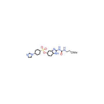 COCCNC(=O)Nc1nc2cc(OS(=O)(=O)c3ccc(-n4ccnc4)cc3)ccc2[nH]1